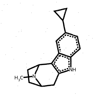 CN1C2CCC1c1c([nH]c3ccc(C4CC4)cc13)C2